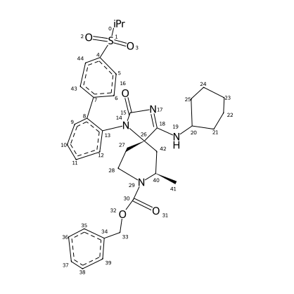 CC(C)S(=O)(=O)c1ccc(-c2ccccc2N2C(=O)N=C(NC3CCCCC3)[C@@]23CCN(C(=O)OCc2ccccc2)[C@H](C)C3)cc1